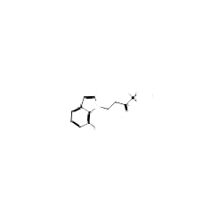 CC(C)(C)C(=O)CCn1ccc2cccc(Cl)c21